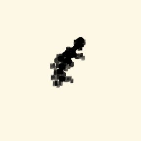 Cc1c(-c2ncsn2)sc2[nH]c(=O)n(C(C)(C)C(=O)OC(C)(C)C)c(=O)c12